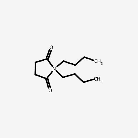 CCCC[N+]1(CCCC)C(=O)CCC1=O